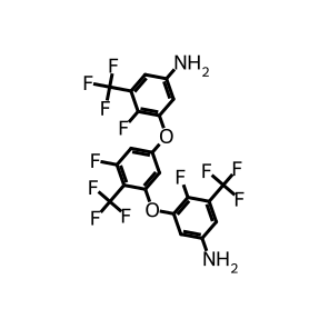 Nc1cc(Oc2cc(F)c(C(F)(F)F)c(Oc3cc(N)cc(C(F)(F)F)c3F)c2)c(F)c(C(F)(F)F)c1